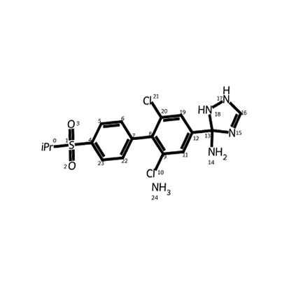 CC(C)S(=O)(=O)c1ccc(-c2c(Cl)cc(C3(N)N=CNN3)cc2Cl)cc1.N